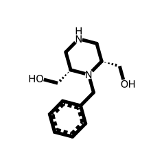 OC[C@@H]1CNC[C@H](CO)N1Cc1ccccc1